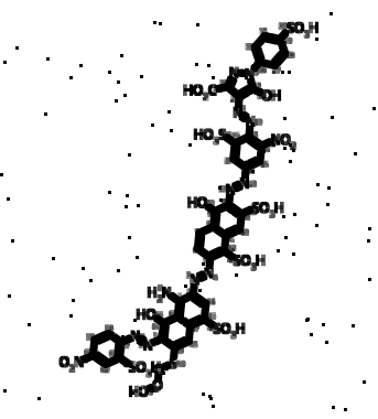 Nc1c(N=Nc2ccc3c(O)c(N=Nc4cc([N+](=O)[O-])c(N=Nc5c(C(=O)O)nn(-c6ccc(S(=O)(=O)O)cc6)c5O)c(S(=O)(=O)O)c4)c(S(=O)(=O)O)cc3c2S(=O)(=O)O)cc(S(=O)(=O)O)c2cc(SOOO)c(N=Nc3ccc([N+](=O)[O-])cc3S(=O)(=O)O)c(O)c12